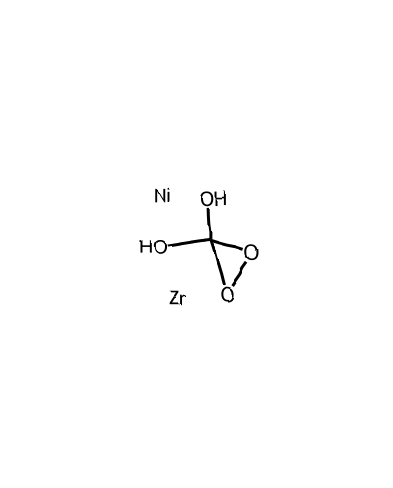 OC1(O)OO1.[Ni].[Zr]